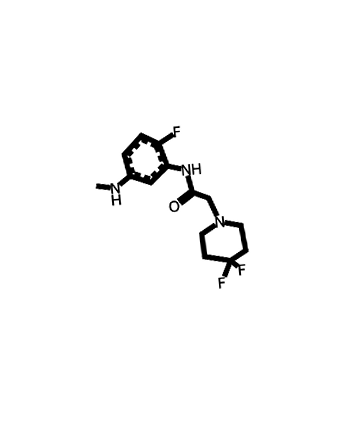 CNc1ccc(F)c(NC(=O)CN2CCC(F)(F)CC2)c1